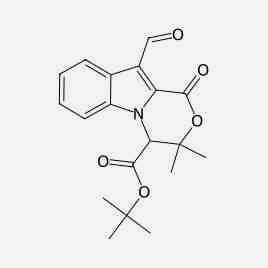 CC(C)(C)OC(=O)C1n2c(c(C=O)c3ccccc32)C(=O)OC1(C)C